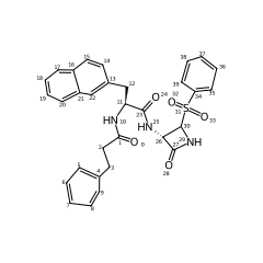 O=C(CCc1ccccc1)N[C@@H](Cc1ccc2ccccc2c1)C(=O)N[C@H]1C(=O)NC1S(=O)(=O)c1ccccc1